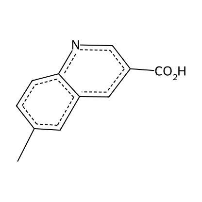 Cc1ccc2ncc(C(=O)O)cc2c1